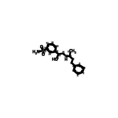 CC(CCc1ccccc1)NCC(O)c1cccc(S(N)(=O)=O)c1